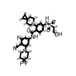 N#Cc1c(F)cc(NC(=O)c2ccc(NS(=O)(=O)CCO)cc2N2CCC3(CC2)CC3)cc1N1CCC(F)(F)CC1